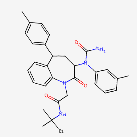 CCC(C)(C)NC(=O)CN1C(=O)C(N(C(N)=O)c2cccc(C)c2)CC(c2ccc(C)cc2)c2ccccc21